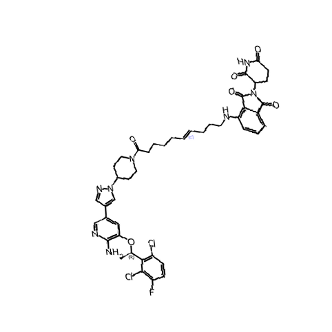 C[C@@H](Oc1cc(-c2cnn(C3CCN(C(=O)CCCC/C=C/CCCNc4cccc5c4C(=O)N(C4CCC(=O)NC4=O)C5=O)CC3)c2)cnc1N)c1c(Cl)ccc(F)c1Cl